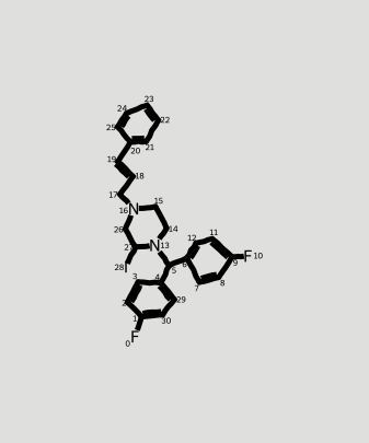 Fc1ccc(C(c2ccc(F)cc2)N2CCN(CC=Cc3ccccc3)CC2I)cc1